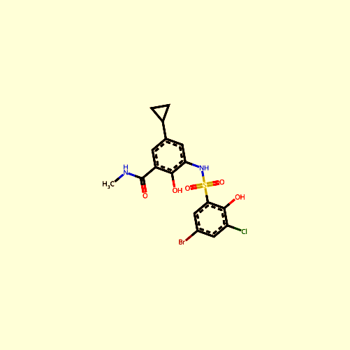 CNC(=O)c1cc(C2CC2)cc(NS(=O)(=O)c2cc(Br)cc(Cl)c2O)c1O